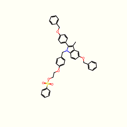 Cc1c(-c2ccc(OCc3ccccc3)cc2)n(Cc2ccc(OCCOS(=O)(=O)c3ccccc3)cc2)c2ccc(OCc3ccccc3)cc12